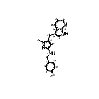 Cn1nc(NCc2ccc(F)cc2)cc1Cc1c[nH]c2ncccc12